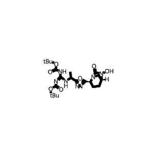 CC(N/C(=N\C(=O)OC(C)(C)C)NC(=O)OC(C)(C)C)c1nnc([C@@H]2CC[C@@H]3CN2C(=O)N3O)o1